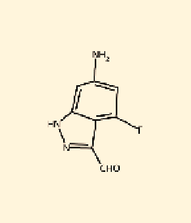 Nc1cc(F)c2c(C=O)n[nH]c2c1